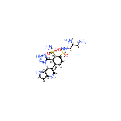 NCC(N)CNS(=O)(=O)c1ccc(-c2cnc3cc[nH]c3c2)c(-c2nn[nH]n2)c1S(N)(=O)=O